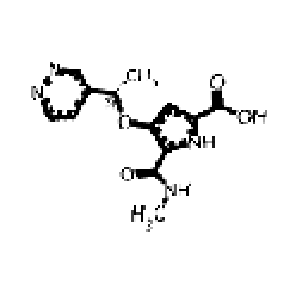 CNC(=O)c1[nH]c(C(=O)O)cc1O[C@@H](C)c1ccnnc1